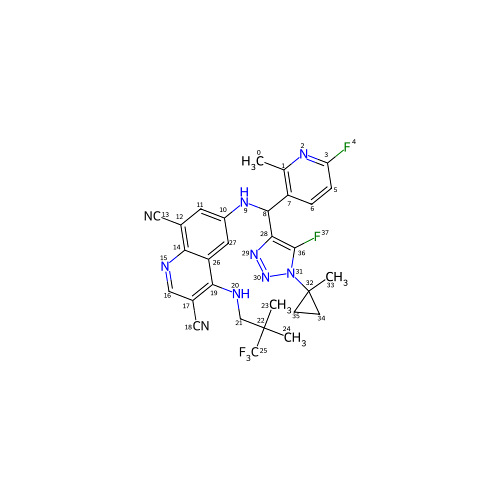 Cc1nc(F)ccc1C(Nc1cc(C#N)c2ncc(C#N)c(NCC(C)(C)C(F)(F)F)c2c1)c1nnn(C2(C)CC2)c1F